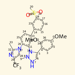 COc1ccc(C2=CNN(C)N2c2cc(-c3cccc(S(C)(=O)=O)c3)ccc2-n2cc(C(F)(F)F)nc2C)c(OC)c1